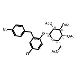 CCc1ccc(Cc2cc(Cl)ccc2O[C@H]2S[C@@H](COC(C)=O)[C@@H](OC(C)=O)[C@H](OC(C)=O)[C@H]2OC(C)=O)cc1